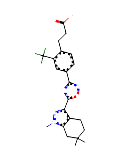 Cn1nc(-c2nc(-c3ccc(CCC(=O)O)c(C(F)(F)F)c3)no2)c2c1CC(C)(C)CC2